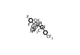 CC(NC(=O)c1cnn(-c2ccc(C(F)(F)F)cc2)c1C(F)(F)F)C(O)(Cn1cncn1)c1ccc(F)cc1F